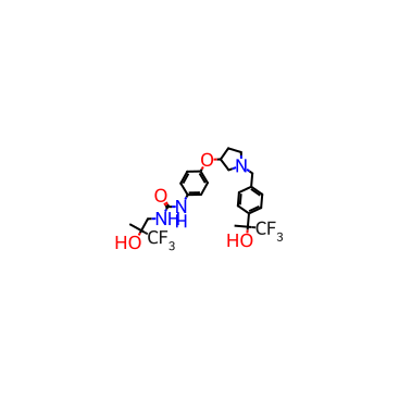 CC(O)(CNC(=O)Nc1ccc(OC2CCN(Cc3ccc(C(C)(O)C(F)(F)F)cc3)C2)cc1)C(F)(F)F